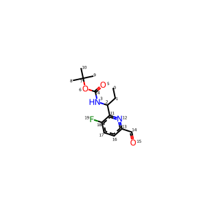 CCC(NC(=O)OC(C)(C)C)c1nc(C=O)ccc1F